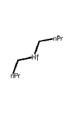 CCC[CH2][Hf][CH2]CCC